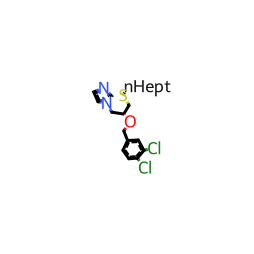 CCCCCCCSCC(Cn1ccnc1)OCc1ccc(Cl)c(Cl)c1